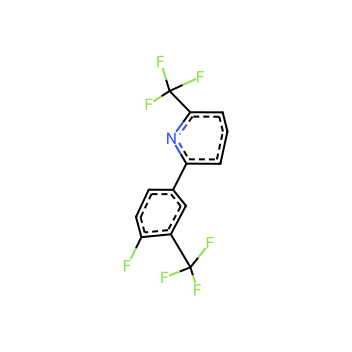 Fc1ccc(-c2cccc(C(F)(F)F)n2)cc1C(F)(F)F